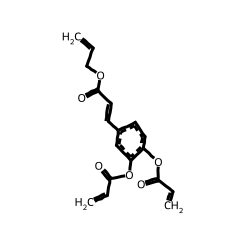 C=CCOC(=O)/C=C/c1ccc(OC(=O)C=C)c(OC(=O)C=C)c1